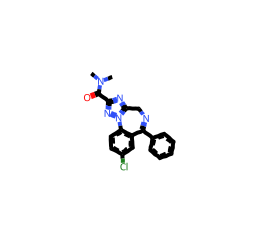 CN(C)C(=O)c1nc2n(n1)-c1ccc(Cl)cc1C(c1ccccc1)=NC2